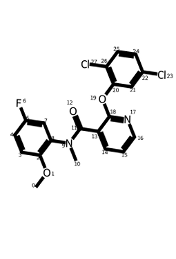 COc1ccc(F)cc1N(C)C(=O)c1cccnc1Oc1cc(Cl)ccc1Cl